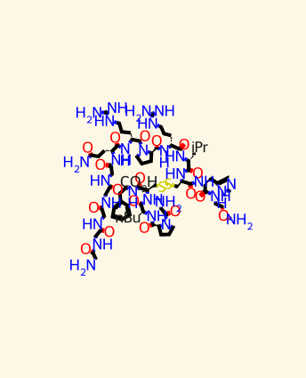 CCCC[C@@H](NC(=O)[C@@H]1CCCN1C(=O)CN)C(=O)N[C@H](CSSC[C@@H](NC(=O)[C@@H](CC(C)C)NC(=O)[C@@H](CCCNC(=N)N)NC(=O)[C@H]1CCCN1C(=O)[C@@H](CCCNC(=N)N)NC(=O)[C@@H](CCC(N)=O)NC(=O)CNC(=O)CNC(=O)CNC(=O)CNC(=O)CN)C(=O)N[C@@H](Cc1cnc[nH]1)C(=O)NCCON)C(=O)N[C@H](Cc1ccccc1)C(=O)O